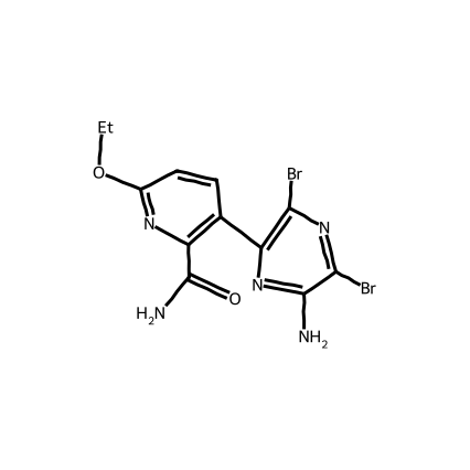 CCOc1ccc(-c2nc(N)c(Br)nc2Br)c(C(N)=O)n1